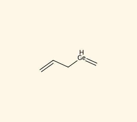 C=C[CH2][GeH]=[CH2]